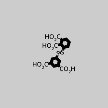 O=C(O)c1cc(SSc2cccc(C(=O)O)c2C(=O)O)cc(C(=O)O)c1